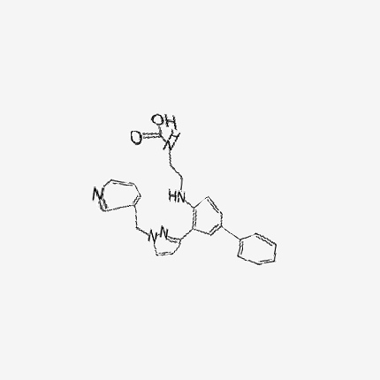 O=C(O)NCCNc1ccc(-c2ccccc2)cc1-c1ccn(Cc2cccnc2)n1